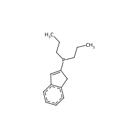 CCCP(CCC)C1=Cc2ccccc2C1